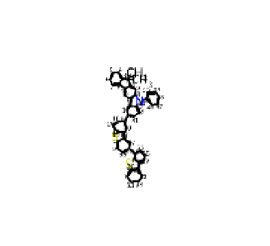 CC1(C)c2ccccc2-c2cc3c4cc(-c5ccc6sc7ccc(-c8cccc9c8sc8ccccc89)cc7c6c5)ccc4n(-c4ccccc4)c3cc21